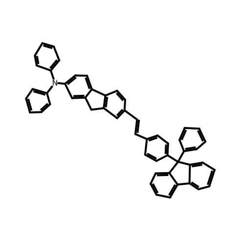 C(=Cc1ccc2c(c1)Cc1cc(N(c3ccccc3)c3ccccc3)ccc1-2)c1ccc(C2(c3ccccc3)c3ccccc3-c3ccccc32)cc1